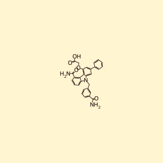 NC(=O)c1cccc(Cn2c3cc(-c4ccccc4)cc(OCC(=O)O)c3c3c(C(N)=O)cccc32)c1